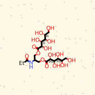 CCC(=O)NC(COC(=O)[C@H](O)[C@@H](O)[C@H](O)[C@H](O)CO)COC(=O)[C@H](O)[C@@H](O)[C@H](O)[C@H](O)CO